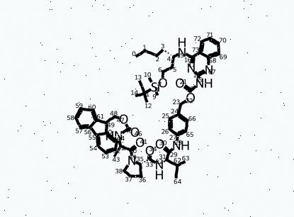 CCCC[C@@H](CCO[Si](C)(C)C(C)(C)C)Nc1nc(NC(=O)OCc2ccc(NC(=O)[C@@H](NC(=O)[C@@H]3CCCN3C(=O)[C@@H](C)NC(=O)OCC3c4ccccc4-c4ccccc43)C(C)C)cc2)nc2ccccc12